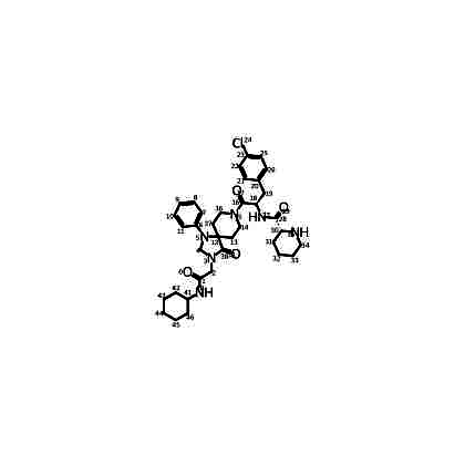 O=C(CN1CN(c2ccccc2)C2(CCN(C(=O)[C@@H](Cc3ccc(Cl)cc3)NC(=O)[C@H]3CCCCN3)CC2)C1=O)NC1CCCCC1